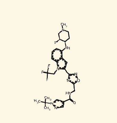 CN1CC[C@@H](Nc2cccc3c2cc(-c2noc(CNC(=O)c4cnn(C(C)(C)C)c4)n2)n3CC(F)(F)F)[C@@H](F)C1